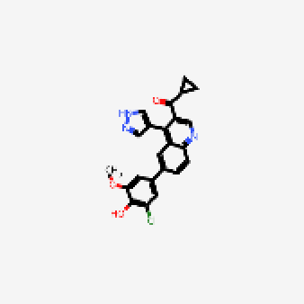 COc1cc(-c2ccc3ncc(C(=O)C4CC4)c(-c4cn[nH]c4)c3c2)cc(Cl)c1O